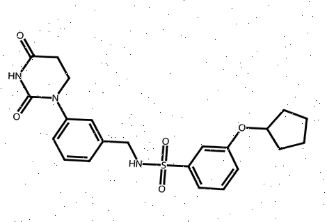 O=C1CCN(c2cccc(CNS(=O)(=O)c3cccc(OC4CCCC4)c3)c2)C(=O)N1